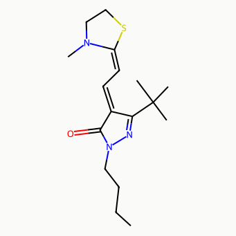 CCCCN1N=C(C(C)(C)C)/C(=C\C=C2\SCCN2C)C1=O